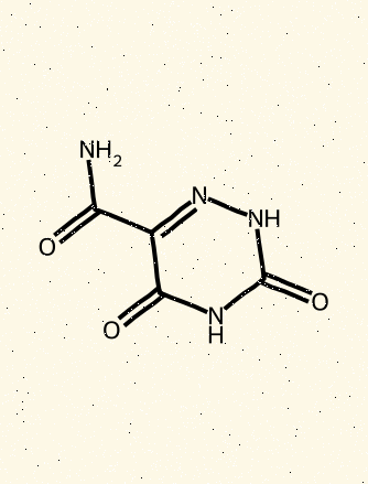 NC(=O)c1n[nH]c(=O)[nH]c1=O